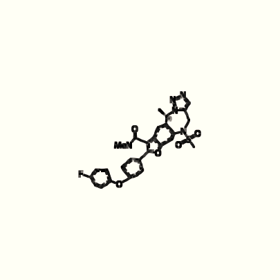 CNC(=O)c1c(-c2ccc(Oc3ccc(F)cc3)cc2)oc2cc3c(cc12)[C@@H](C)n1nncc1CN3S(C)(=O)=O